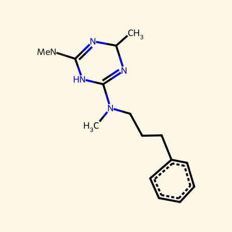 CNC1=NC(C)N=C(N(C)CCCc2ccccc2)N1